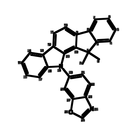 CC1(C)c2ccccc2-c2ccc3c4ccccc4n(-c4ccc5ncoc5c4)c3c21